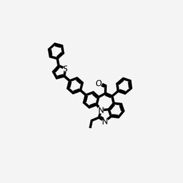 CCc1nc2cccc3c2n1-c1ccc(-c2ccc(-c4ccc(-c5ccccc5)s4)cc2)cc1C(C=O)=C3c1ccccc1